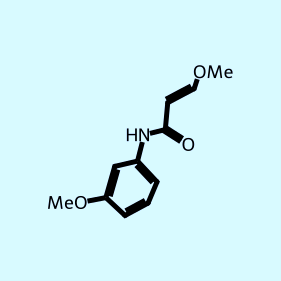 COC=CC(=O)Nc1cccc(OC)c1